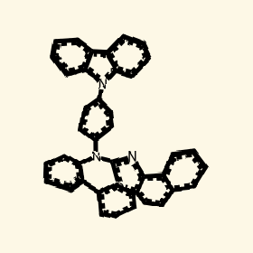 c1ccc(-c2ccccc2N(c2ccc(-n3c4ccccc4c4ccccc43)cc2)c2nc3c(ccc4ccccc43)o2)cc1